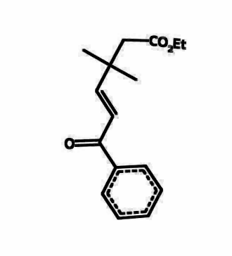 CCOC(=O)CC(C)(C)C=CC(=O)c1ccccc1